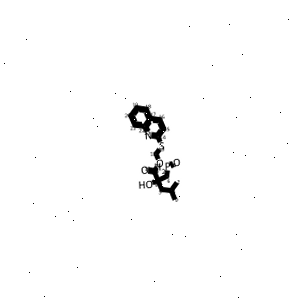 CC(C)CC(O)(C[PH2]=O)C(=O)OCSc1ccc2ccccc2n1